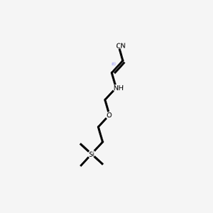 C[Si](C)(C)CCOCN/C=C/C#N